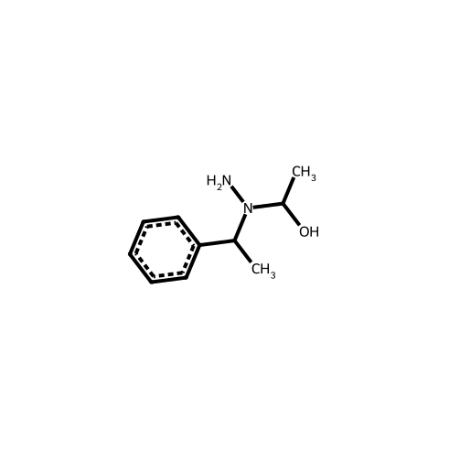 CC(O)N(N)C(C)c1ccccc1